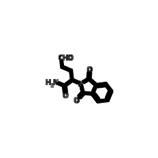 NC(=O)C(CCC=O)N1C(=O)c2ccccc2C1=O